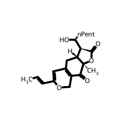 CC=CC1=CC2=C(CO1)C(=O)[C@]1(C)OC(=O)[C@H]([C@@H](O)CCCCC)[C@H]1C2